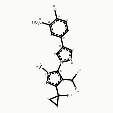 Cn1nc(C2(F)CC2)c(C(F)F)c1-n1cc(-c2ccc(Cl)c(C(=O)O)c2)cn1